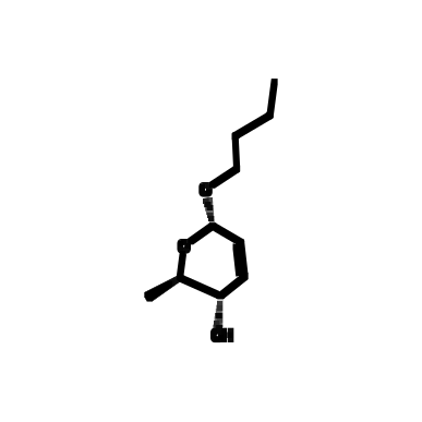 CCCCO[C@@H]1C=C[C@H](O)[C@@H](C)O1